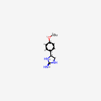 CCCCOc1ccc(C2CNC(=N)N2)cc1